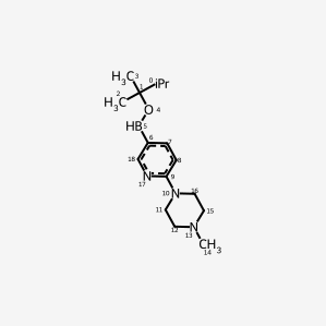 CC(C)C(C)(C)OBc1ccc(N2CCN(C)CC2)nc1